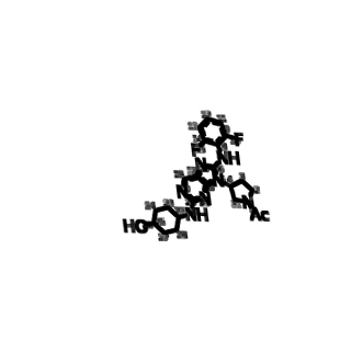 CC(=O)N1CC[C@H](n2c(Nc3c(F)cccc3F)nc3cnc(NC4CCC(O)CC4)nc32)C1